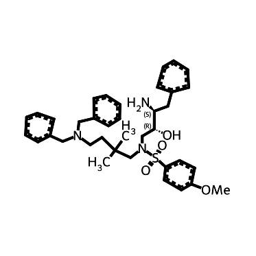 COc1ccc(S(=O)(=O)N(C[C@@H](O)[C@@H](N)Cc2ccccc2)CC(C)(C)CCN(Cc2ccccc2)Cc2ccccc2)cc1